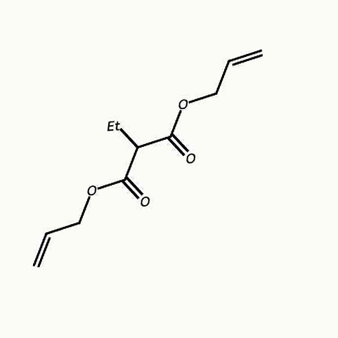 C=CCOC(=O)C(CC)C(=O)OCC=C